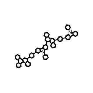 c1ccc(-n2c3ccccc3c3ccc(-c4ccc(-c5cc6c7ccccc7cc(-c7ccc8c(c7)c7ccc(-c9ccc(-c%10cc%11c%12ccccc%12c%12ccccc%12c%11c%11ccccc%10%11)cc9)cc7n8-c7ccccc7)c6c6ccccc56)cc4)cc32)cc1